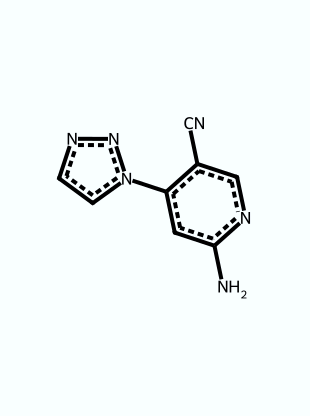 N#Cc1cnc(N)cc1-n1ccnn1